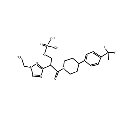 CCn1nnc(C(COP(=O)(O)O)C(=O)N2CCC(c3ccc(C(F)(F)F)cc3)CC2)n1